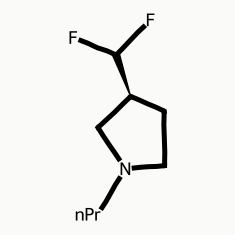 CCCN1CC[C@H](C(F)F)C1